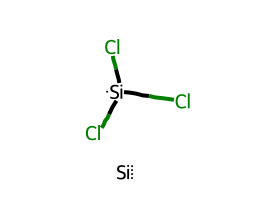 Cl[Si](Cl)Cl.[Si]